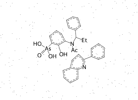 CCC(c1ccccc1)N(C(C)=O)c1cccc([As](=O)(O)O)c1O.c1ccc(-c2ccc3ccccc3n2)cc1